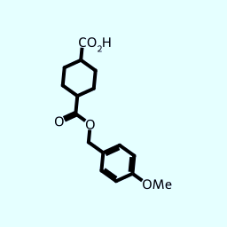 COc1ccc(COC(=O)C2CCC(C(=O)O)CC2)cc1